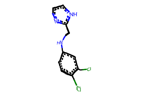 Clc1ccc(NCc2ncc[nH]2)cc1Cl